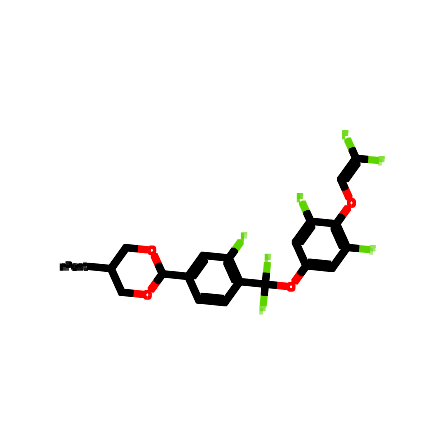 CCCCCC1COC(c2ccc(C(F)(F)Oc3cc(F)c(OC=C(F)F)c(F)c3)c(F)c2)OC1